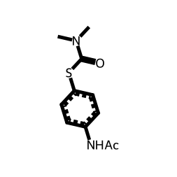 CC(=O)Nc1ccc(SC(=O)N(C)C)cc1